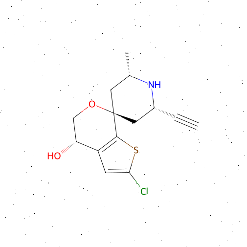 C#C[C@@H]1C[C@]2(C[C@H](C)N1)OC[C@@H](O)c1cc(Cl)sc12